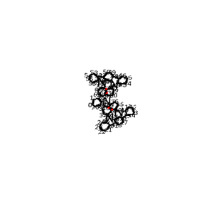 c1ccc(N(c2ccc(-n3c4ccccc4c4ccc5c6ccccc6n(-c6ccccc6)c5c43)cc2)c2ccc(-n3c4ccccc4c4ccc5c6ccccc6n(-c6ccccc6)c5c43)cc2)cc1